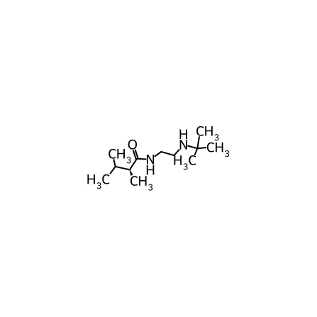 CC(C)[C@H](C)C(=O)NCCNC(C)(C)C